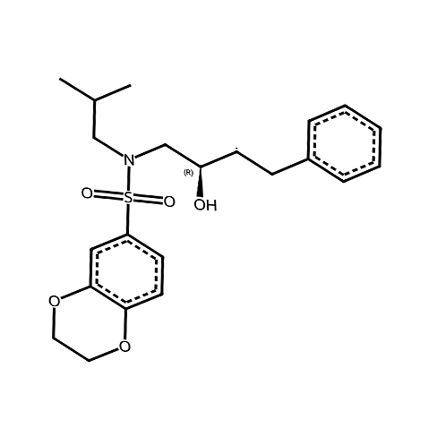 CC(C)CN(C[C@H](O)[CH]Cc1ccccc1)S(=O)(=O)c1ccc2c(c1)OCCO2